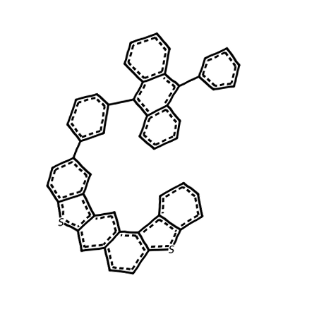 c1ccc(-c2c3ccccc3c(-c3cccc(-c4ccc5sc6cc7ccc8sc9ccccc9c8c7cc6c5c4)c3)c3ccccc23)cc1